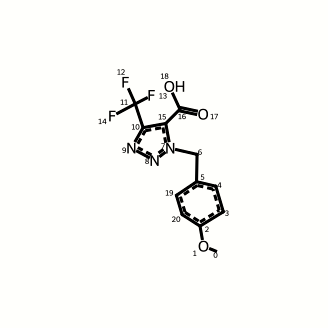 COc1ccc(Cn2nnc(C(F)(F)F)c2C(=O)O)cc1